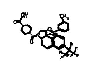 Cc1cccc(S(=O)(=O)C23CCN(C(=O)[C@H]4CC[C@H](C(=O)O)CC4)C2CCc2cc(C(F)(C(F)(F)F)C(F)(F)F)ccc23)c1